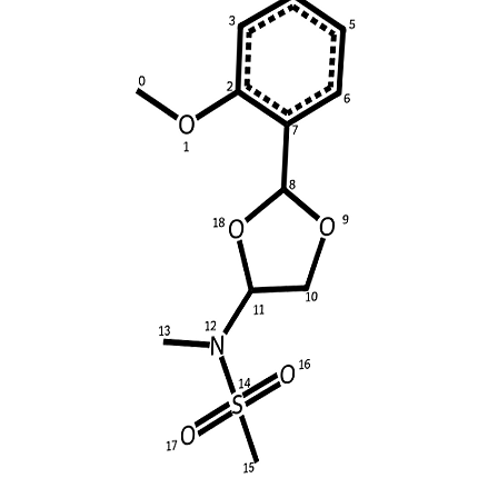 COc1ccccc1C1OCC(N(C)S(C)(=O)=O)O1